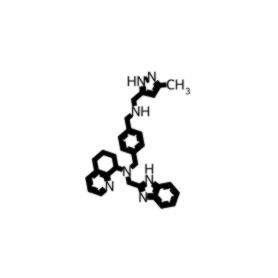 Cc1cc(CNCc2ccc(CN(Cc3nc4ccccc4[nH]3)C3CCCc4cccnc43)cc2)[nH]n1